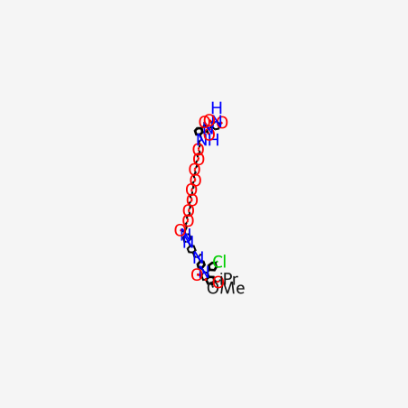 COc1cc2c(cc1OC(C)C)[C@H](c1ccc(Cl)cc1)N(c1ccc(N(C)CC3CCC(N4CCN(C(=O)CCOCCOCCOCCOCCOCCOCCOCCOCCNc5cccc6c5C(=O)N(C5CCC(=O)NC5=O)C6=O)CC4)CC3)cc1)C(=O)C2